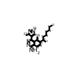 CCCCCCC(C)c1ccc2c(N)nnc(-c3cn(C)nc3C)c2c1C